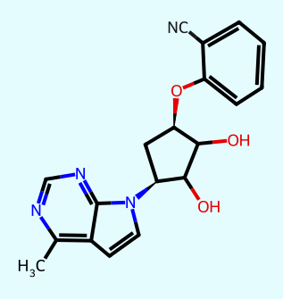 Cc1ncnc2c1ccn2[C@H]1C[C@@H](Oc2ccccc2C#N)C(O)C1O